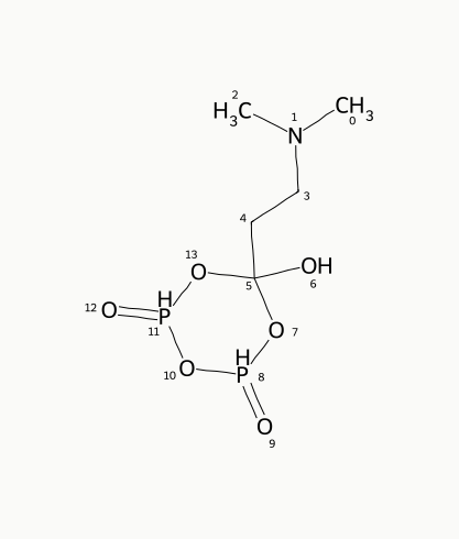 CN(C)CCC1(O)O[PH](=O)O[PH](=O)O1